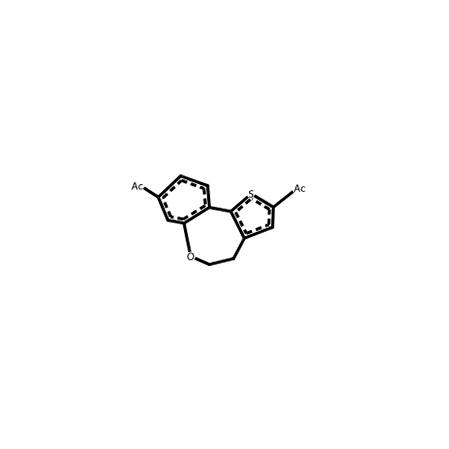 CC(=O)c1ccc2c(c1)OCCc1cc(C(C)=O)sc1-2